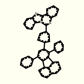 c1ccc(-c2cc(-c3ccc(-c4nc5ccccc5c5nc6ccccc6n45)cc3)c(-c3ccccc3)c3c2-c2cccc4cccc-3c24)cc1